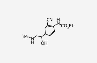 CCOC(=O)Nc1ccc(C(O)CNC(C)C)cc1C#N